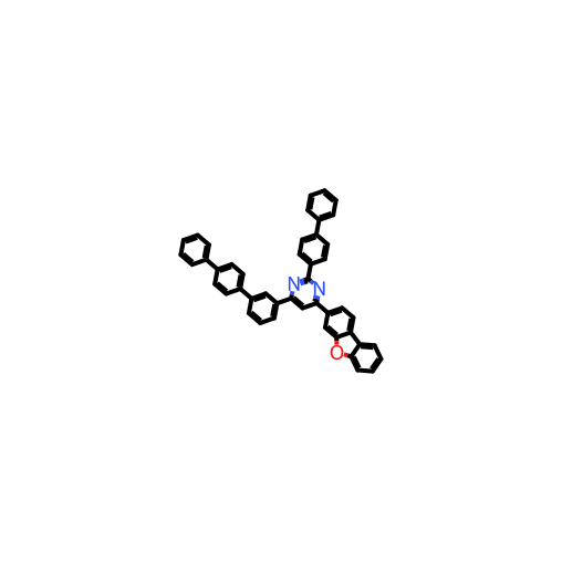 c1ccc(-c2ccc(-c3cccc(-c4cc(-c5ccc6c(c5)oc5ccccc56)nc(-c5ccc(-c6ccccc6)cc5)n4)c3)cc2)cc1